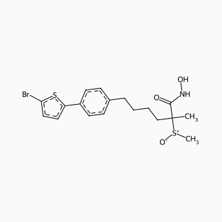 C[S+]([O-])C(C)(CCCCc1ccc(-c2ccc(Br)s2)cc1)C(=O)NO